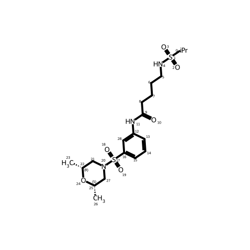 CC(C)S(=O)(=O)NCCCCC(=O)Nc1cccc(S(=O)(=O)N2C[C@@H](C)O[C@@H](C)C2)c1